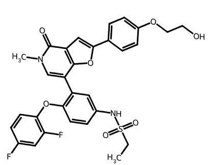 CCS(=O)(=O)Nc1ccc(Oc2ccc(F)cc2F)c(-c2cn(C)c(=O)c3cc(-c4ccc(OCCO)cc4)oc23)c1